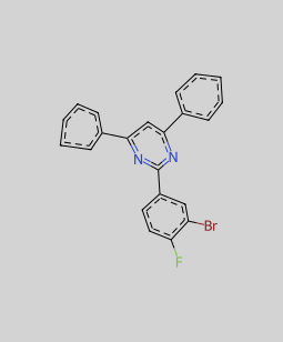 Fc1ccc(-c2nc(-c3ccccc3)cc(-c3ccccc3)n2)cc1Br